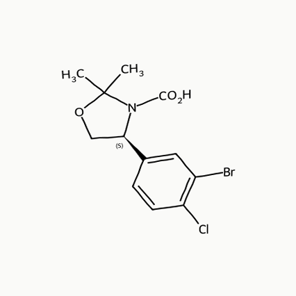 CC1(C)OC[C@H](c2ccc(Cl)c(Br)c2)N1C(=O)O